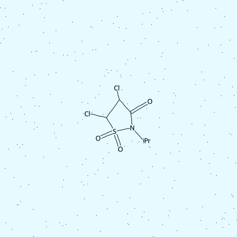 CC(C)N1C(=O)C(Cl)C(Cl)S1(=O)=O